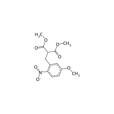 COC(=O)C(Cc1cc(OC)ccc1[N+](=O)[O-])C(=O)OC